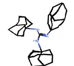 C1C2CC3CC1CC(N=C(NC14CC5CC(CC(C5)C1)C4)NC14CC5CC(CC(C5)C1)C4)(C2)C3